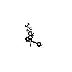 CCN(CC)C(=O)N[C@H]1CC2c3cccc4[nH]c(C#Cc5ccc(Cl)cc5)c(c34)C[C@H]2N(C)C1